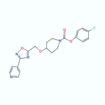 O=C(Oc1ccc(F)cc1)N1CCC(OCc2nc(-c3ccncc3)no2)CC1